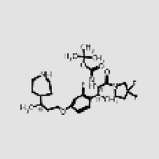 C[C@H](CCOc1ccc([C@H](C)[C@H](NC(=O)OC(C)(C)C)C(=O)N2CCC(F)(F)C2)c(F)c1)C1CCNCC1